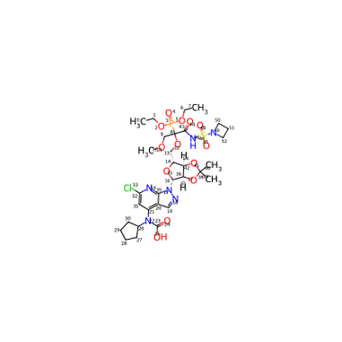 CCOP(=O)(OCC)C(COC)(OC[C@H]1O[C@@H](n2ncc3c(N(C(=O)O)C4CCCC4)cc(Cl)nc32)[C@@H]2OC(C)(C)O[C@@H]21)C(=O)NS(=O)(=O)N1CCC1